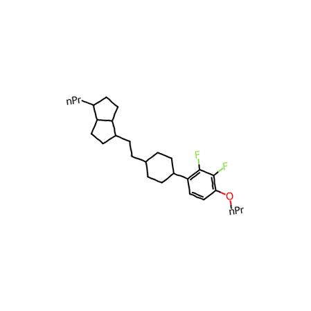 CCCOc1ccc(C2CCC(CCC3CCC4C(CCC)CCC34)CC2)c(F)c1F